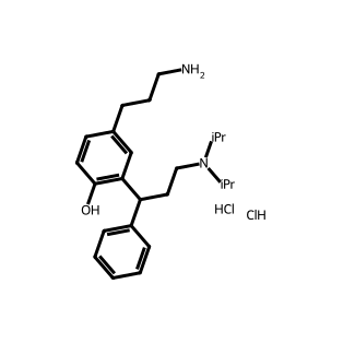 CC(C)N(CCC(c1ccccc1)c1cc(CCCN)ccc1O)C(C)C.Cl.Cl